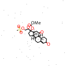 COC(=O)O[C@]1(C(=O)COS(C)(=O)=O)CC[C@H]2[C@@H]3CCC4=CC(=O)CC[C@]4(C)[C@H]3C(=O)C[C@@]21C